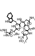 CC[C@H](C)[C@H](NC(C)=O)C(=O)N[C@H](C(=O)N[C@@H](Cc1c[nH]c2ccccc12)C(=O)N(O)[C@@H](CC(N)=O)C(=O)N[C@H](C(=O)N[C@@H](CC(=O)O)C(N)=O)C(C)C)[C@@H](C)CC